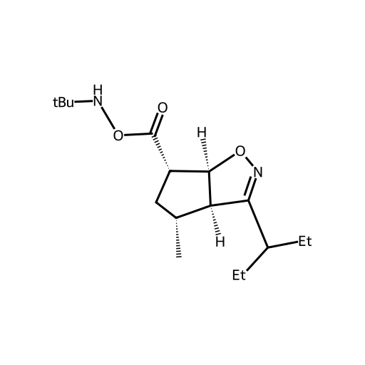 CCC(CC)C1=NO[C@H]2[C@@H]1[C@H](C)C[C@@H]2C(=O)ONC(C)(C)C